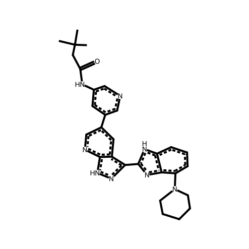 CC(C)(C)CC(=O)Nc1cncc(-c2cnc3[nH]nc(-c4nc5c(N6CCCCC6)cccc5[nH]4)c3c2)c1